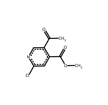 COC(=O)c1cc(Cl)ncc1C(C)=O